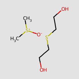 C[S+](C)[O-].OCCSCCO